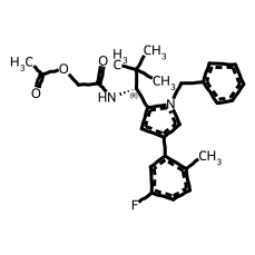 CC(=O)OCC(=O)N[C@@H](c1cc(-c2cc(F)ccc2C)cn1Cc1ccccc1)C(C)(C)C